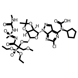 CCOP(=O)(OCC)C(COC)(OC[C@H]1O[C@@H](n2ncc3c(N(C(=O)O)C4CCCC4)nc(Cl)nc32)[C@@H]2OC(C)(C)O[C@@H]21)C(=O)N=S(C)(=O)NC(=O)NC